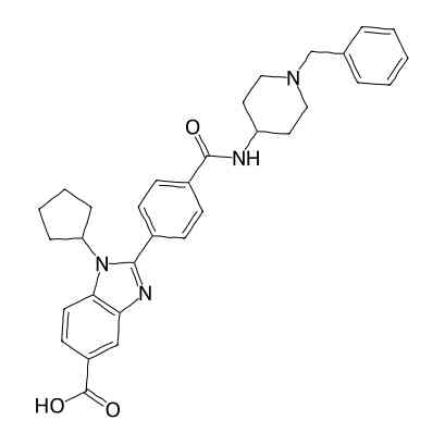 O=C(O)c1ccc2c(c1)nc(-c1ccc(C(=O)NC3CCN(Cc4ccccc4)CC3)cc1)n2C1CCCC1